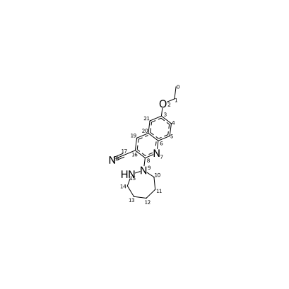 CCOc1ccc2nc(N3CCCCCN3)c(C#N)cc2c1